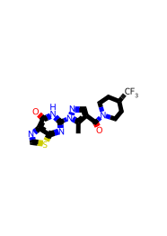 Cc1c(C(=O)N2CCC(C(F)(F)F)CC2)cnn1-c1nc2scnc2c(=O)[nH]1